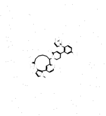 C[C@@H]1CCCC(N2CCC(c3cc(Cl)ccc3-n3ccnn3)=CC2=O)c2cc(ccn2)-c2c(ccn2C)NC1=O